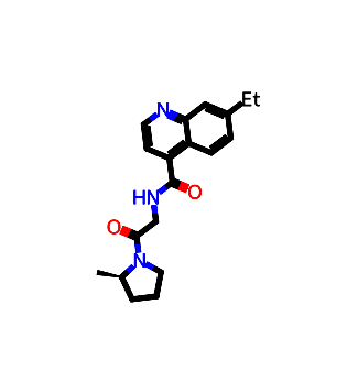 CCc1ccc2c(C(=O)NCC(=O)N3CCC[C@H]3C)ccnc2c1